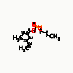 CCCCO[PH](=O)OCC(CC)CCCC